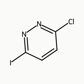 Clc1ccc(I)nn1